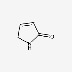 O=C1[C]=CCN1